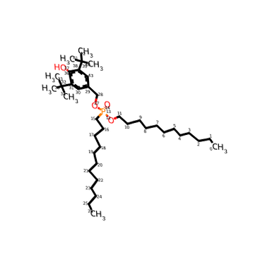 CCCCCCCCCCCCOP(=O)(CCCCCCCCCCCC)OCc1cc(C(C)(C)C)c(O)c(C(C)(C)C)c1